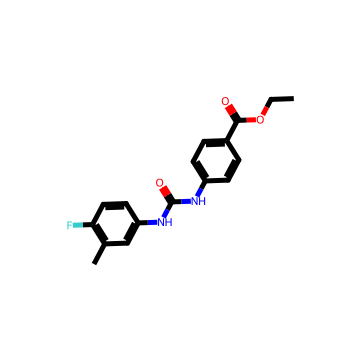 CCOC(=O)c1ccc(NC(=O)Nc2ccc(F)c(C)c2)cc1